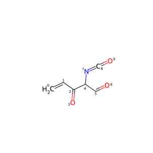 C=CC(=O)C(C=O)N=C=O